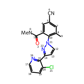 CNC(=O)c1cc(C#N)cc(C)c1-n1ccc(-c2ncccc2Cl)n1